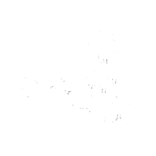 Cc1cccc2cccc(N3CCc4c(nc(OC[C@@H]5CCCN5C)nc4N4CC[C@H](NC(=O)OCc5ccccc5)[C@@H](CC#N)C4)C3)c12